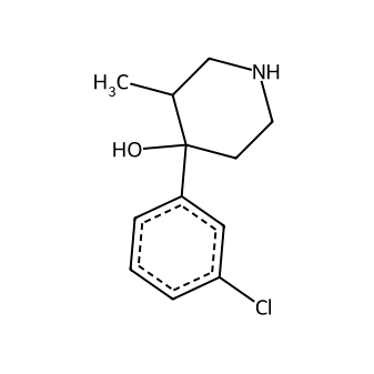 CC1CNCCC1(O)c1cccc(Cl)c1